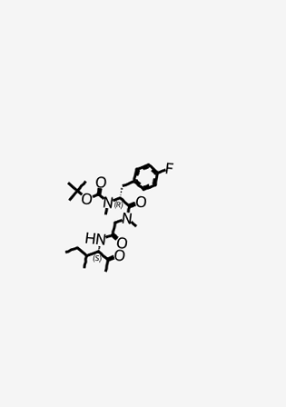 CCC(C)[C@H](NC(=O)CN(C)C(=O)[C@@H](Cc1ccc(F)cc1)N(C)C(=O)OC(C)(C)C)C(C)=O